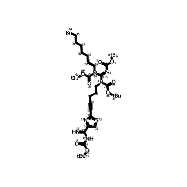 CC(C)(C)OC(=O)/N=C(/N(CCCC#Cc1nc(C(=N)NC(=O)OC(C)(C)C)cs1)C(=O)OC(C)(C)C)N(CCCCCCCBr)C(=O)OC(C)(C)C